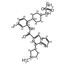 CN1CCC(c2nc(C(=O)Nc3cc(F)ccc3N3CCC(NS(N)(=O)=O)CC3)cn3ccnc23)C1